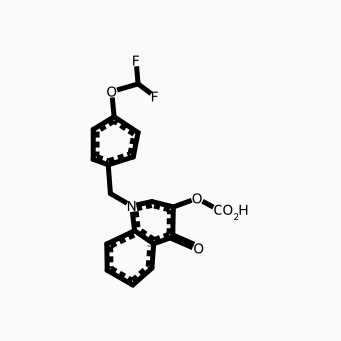 O=C(O)Oc1cn(Cc2ccc(OC(F)F)cc2)c2ccccc2c1=O